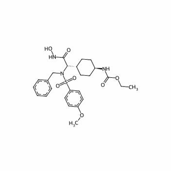 CCOC(=O)N[C@H]1CC[C@H](C(C(=O)NO)N(Cc2ccccc2)S(=O)(=O)c2ccc(OC)cc2)CC1